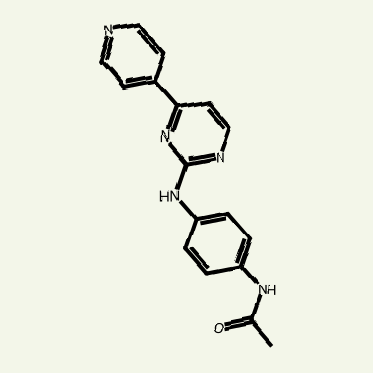 CC(=O)Nc1ccc(Nc2nccc(-c3ccncc3)n2)cc1